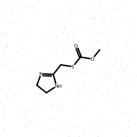 COC(=O)SCC1=NCCN1